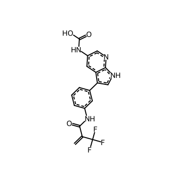 C=C(C(=O)Nc1cccc(-c2c[nH]c3ncc(NC(=O)O)cc23)c1)C(F)(F)F